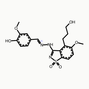 COc1cc(/C=N/NC2=NS(=O)(=O)c3ccc(OC)c(CCCO)c32)ccc1O